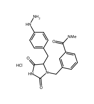 CNC(=O)c1cccc(CN2C(=O)NC(=O)C2Cc2ccc(NN)cc2)c1.Cl